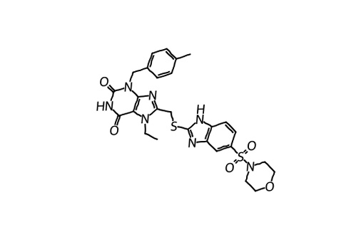 CCn1c(CSc2nc3cc(S(=O)(=O)N4CCOCC4)ccc3[nH]2)nc2c1c(=O)[nH]c(=O)n2Cc1ccc(C)cc1